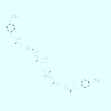 NCc1ccc(CNC(=O)N2CCN(C(=O)CNC(=O)[C@]3(O)CO[C@](O)(C(=O)NCC(=O)N4CCN(C(=O)NCc5ccc(CN)cc5)CC4)CO3)CC2)cc1